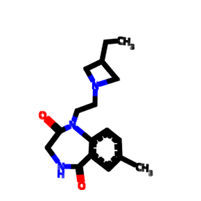 CCC1CN(CCN2C(=O)CNC(=O)c3cc(C)ccc32)C1